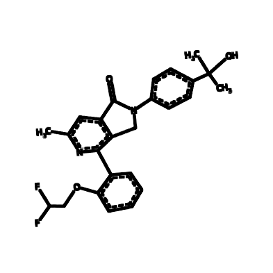 Cc1cc2c(c(-c3ccccc3OCC(F)F)n1)CN(c1ccc(C(C)(C)O)cc1)C2=O